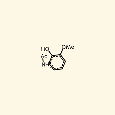 CC(N)=O.COc1ccccc1O